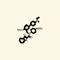 C=CN(C)c1ccc(-c2ccc(OC)c(CN(C(=O)c3sc4ccccc4c3Cl)[C@H]3CC[C@@H](NC)CC3)c2)cc1